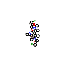 Cc1ccccc1N(c1cc2c(c3ccccc13)-c1c(cc(N(c3ccccc3C)c3cccc4c3oc3c(F)cccc34)c3ccccc13)C21c2ccccc2-n2c3ccccc3c3cccc1c32)c1cccc2c1oc1c(F)cccc12